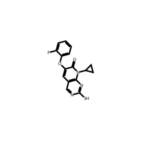 O=c1c(Oc2ccccc2F)cc2cnc(S)nc2n1C1CC1